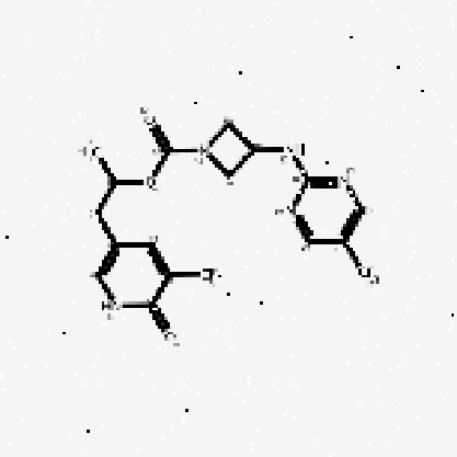 CC(Cc1c[nH]c(=O)c(C(F)(F)F)c1)OC(=O)N1CC(Nc2ncc(C(F)(F)F)cn2)C1